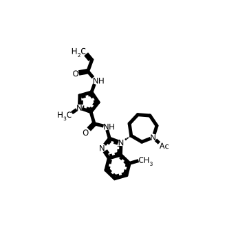 C=CC(=O)Nc1cc(C(=O)Nc2nc3cccc(C)c3n2[C@@H]2CCCCN(C(C)=O)C2)n(C)c1